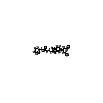 Cn1c(CCCC(=O)OCC2CCC=CO2)nc2cc(N(CCCl)CCCl)ccc21